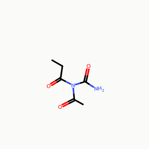 CCC(=O)N(C(C)=O)C(N)=O